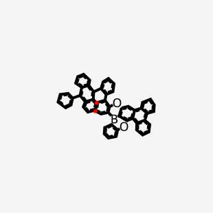 c1ccc(-c2c3ccccc3c(-c3ccccc3-c3cccc4c3Oc3cc5c6ccccc6c6ccccc6c5c5c3B4c3ccccc3O5)c3ccccc23)cc1